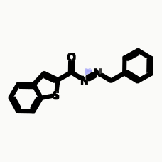 O=C(/N=N/Cc1ccccc1)c1cc2ccccc2s1